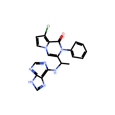 CC(Nc1ncnc2[nH]cnc12)c1cn2ccc(Cl)c2c(=O)n1-c1ccccc1